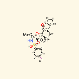 COC(NS(=O)(=O)c1ccc(I)cc1)(Oc1cccc2c1OC1CCCC21)C(=O)O